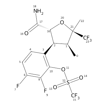 C[C@H]1[C@@H](c2ccc(F)c(F)c2OS(=O)(=O)C(F)(F)F)[C@H](C(N)=O)O[C@@]1(C)C(F)(F)F